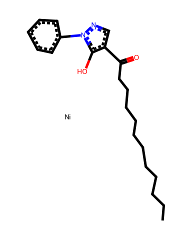 CCCCCCCCCCCC(=O)c1cnn(-c2ccccc2)c1O.[Ni]